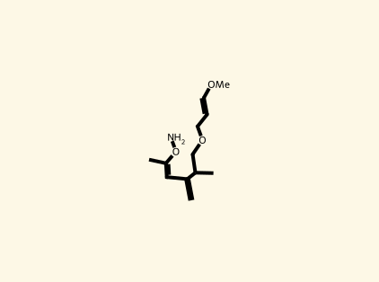 C=C(/C=C(/C)ON)C(C)COC/C=C/OC